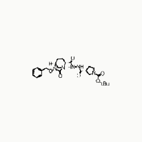 CC(C)(C)OC(=O)N1CC[C@@H](C(=O)NNC(=O)[C@H]2CC[C@H]3CN2C(=O)N3OCc2ccccc2)C1